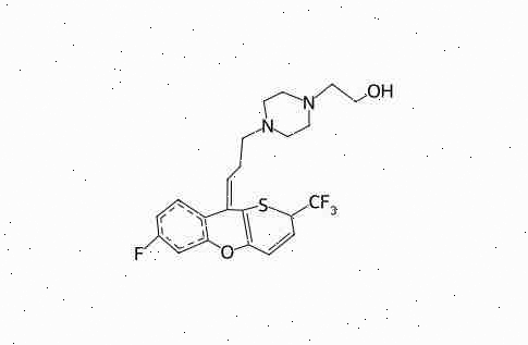 OCCN1CCN(CCC=C2C3=C(C=CC(C(F)(F)F)S3)Oc3cc(F)ccc32)CC1